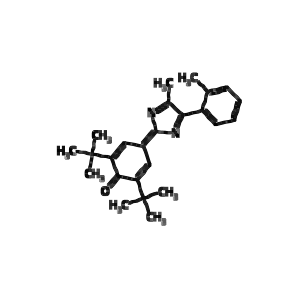 CC1=NC(=C2C=C(C(C)(C)C)C(=O)C(C(C)(C)C)=C2)N=C1c1ccccc1C